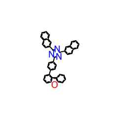 c1ccc2cc(-c3nc(-c4ccc(-c5cccc6oc7ccccc7c56)cc4)nc(-c4ccc5ccccc5c4)n3)ccc2c1